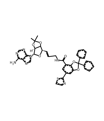 CC1(C)OC2[C@@H](/C=C/CNC(=O)c3cc(-c4nccs4)cc4c3OC(c3ccccc3)(c3ccccc3)O4)O[C@@H](n3cnc4c(N)ncnc43)[C@H]2O1